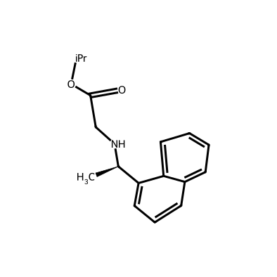 CC(C)OC(=O)CN[C@H](C)c1cccc2ccccc12